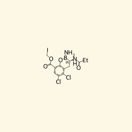 CCC(=O)N[C@H]1Cc2c(Cl)c(Cl)cc(C(=O)OCI)c2OB1N